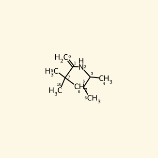 C=C(NC(C)CC)C(C)(C)C